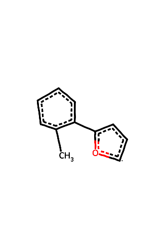 Cc1ccccc1-c1cc[c]o1